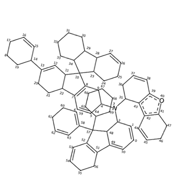 C1=CC(N(C2C=CC3=C(C2)C2(C4C=C(C5C=CCCC5)CCC34)C3CCC=CC3C3CCCCC32)C2CC=Cc3oc4c(c32)C=CCC4)C2C(=C1)C1=C(C=CCC1)C2(C1=CCCC=C1)C1CCCCC1